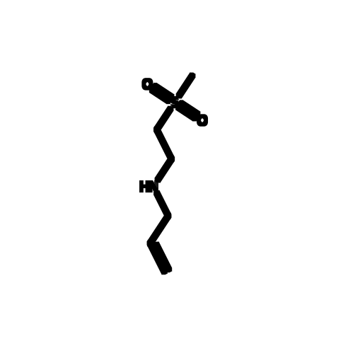 C=CCNCCS(C)(=O)=O